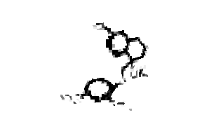 Nc1cc(C(=O)O)ccc1OC[C@@]1(C=O)CCCc2cc(Cl)ccc21